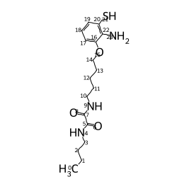 CCCCNC(=O)C(=O)NCCCCCOc1cccc(S)c1N